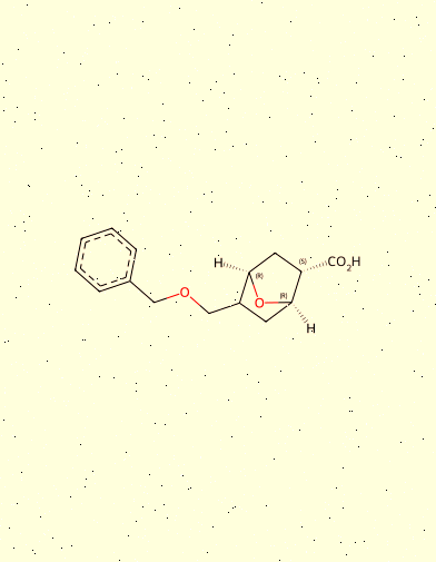 O=C(O)[C@H]1C[C@H]2O[C@@H]1CC2COCc1ccccc1